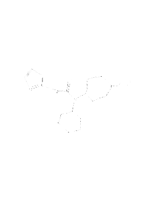 O=C(O)C1CCC(N(C(=O)Nc2nccs2)C2CCCCC2)CC1